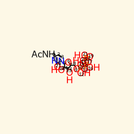 CC(=O)Nc1ccn(C2OC(COP(=O)(O)OP(=O)(O)OP(=O)(O)O)C(O)C2O)c(=O)n1